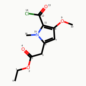 CCOC(=O)Cc1cc(OC)c(C(=O)Cl)n1C